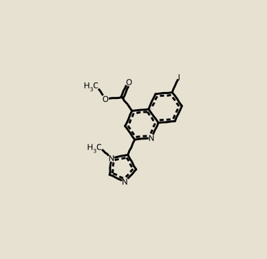 COC(=O)c1cc(-c2cncn2C)nc2ccc(I)cc12